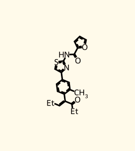 CC/C=C(/C(=O)CC)c1ccc(-c2csc(NC(=O)c3ccco3)n2)cc1C